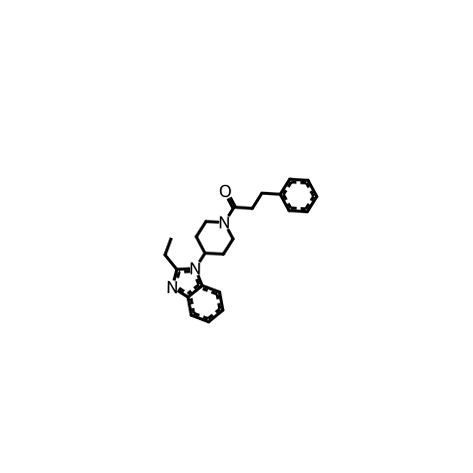 CCc1nc2ccccc2n1C1CCN(C(=O)CCc2ccccc2)CC1